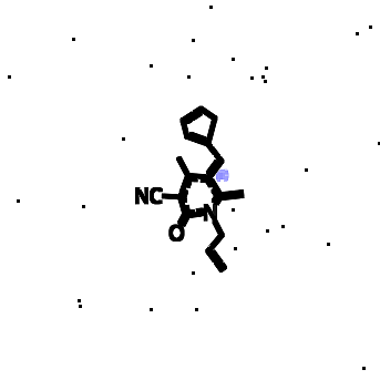 C=CCn1c(=O)c(C#N)c(C)/c(=C\C2=CC=CC2)c1=C